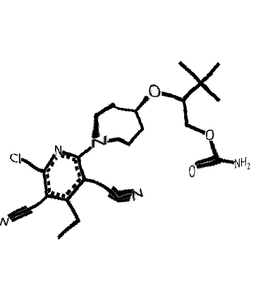 CCc1c(C#N)c(Cl)nc(N2CCC(OC(COC(N)=O)C(C)(C)C)CC2)c1C#N